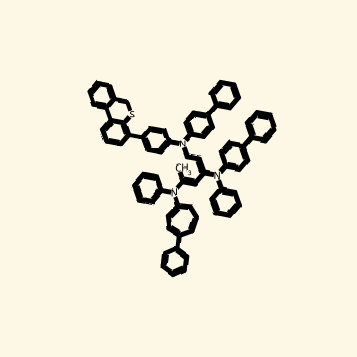 C/C(=C\C(=C/CN(c1ccc(-c2ccccc2)cc1)c1ccc(-c2cccc3c2SCc2ccccc2-3)cc1)N(c1ccccc1)c1ccc(-c2ccccc2)cc1)N(C1=CC=C(c2ccccc2)C=CC1)c1ccccc1